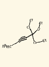 CCCCCC#CC(OCC)(OCC)OCC